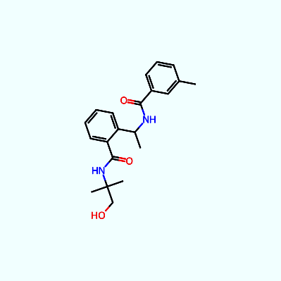 Cc1cccc(C(=O)NC(C)c2ccccc2C(=O)NC(C)(C)CO)c1